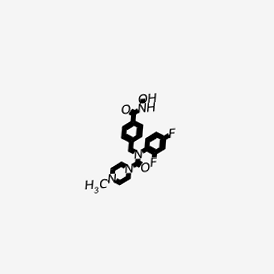 CN1CCN(C(=O)N(Cc2ccc(C(=O)NO)cc2)c2ccc(F)cc2F)CC1